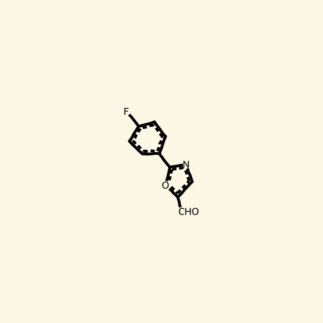 O=Cc1cnc(-c2ccc(F)cc2)o1